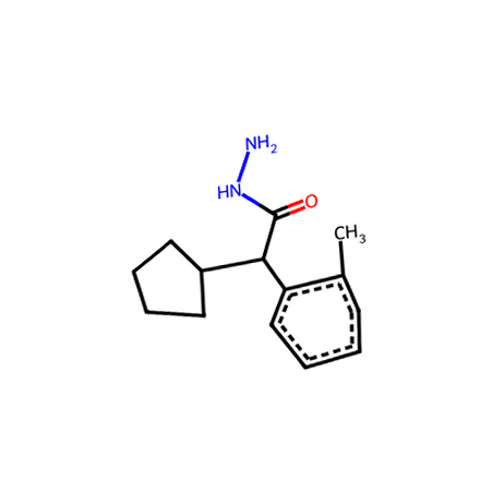 Cc1ccccc1C(C(=O)NN)C1CCCC1